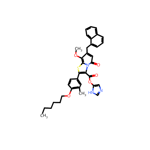 CCCCCCOc1ccc(-c2sc3c(OC)c(Cc4cccc5ccccc45)cc(=O)n3c2C(=O)Oc2cnc[nH]2)cc1C